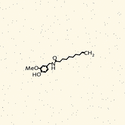 C=CCCCCCCCC(=O)NCc1ccc(O)c(OC)c1